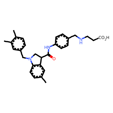 Cc1ccc2c(c1)C(C(=O)Nc1ccc(CNCCC(=O)O)cc1)CN2Cc1ccc(C)c(C)c1